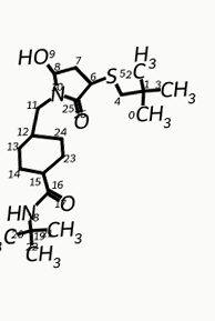 CC(C)(C)CSC1CC(O)N(CC2CCC(C(=O)NC(C)(C)C)CC2)C1=O